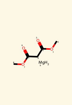 COC(=O)CC(=O)OC.[MgH2]